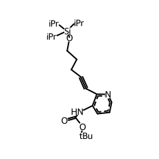 CC(C)[Si](OCCCC#Cc1ncccc1NC(=O)OC(C)(C)C)(C(C)C)C(C)C